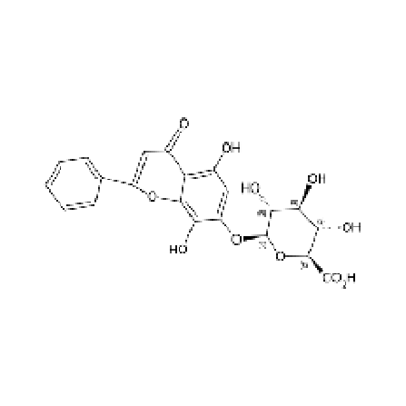 O=C(O)[C@H]1O[C@@H](Oc2cc(O)c3c(=O)cc(-c4ccccc4)oc3c2O)[C@H](O)[C@@H](O)[C@@H]1O